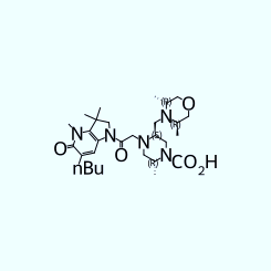 CCCCc1cc2c(n(C)c1=O)C(C)(C)CN2C(=O)CN1C[C@@H](C)N(C(=O)O)C[C@@H]1CN1[C@H](C)COC[C@H]1C